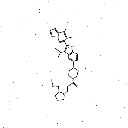 COC[C@@H]1CCCN1CCC(=O)N1CCC(c2ccc3[nH]c(-c4cn5ncnc5c(C)c4C)c(C(C)C)c3c2)CC1